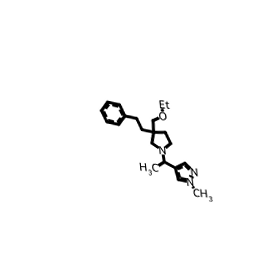 CCOCC1(CCc2ccccc2)CCN(C(C)c2cnn(C)c2)C1